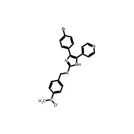 C[S+]([O-])c1ccc(CSc2nc(-c3ccc(Br)cc3)c(-c3ccncc3)[nH]2)cc1